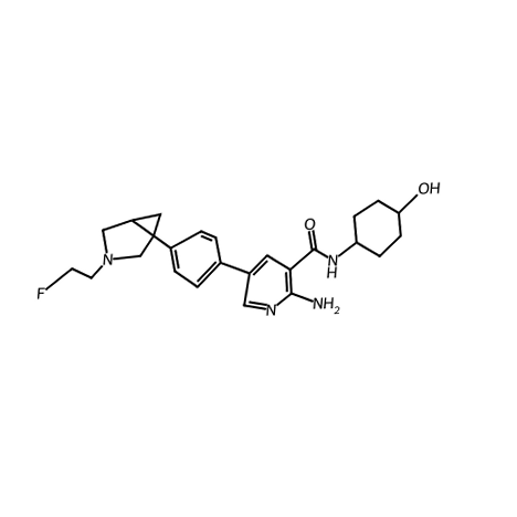 Nc1ncc(-c2ccc(C34CC3CN(CCF)C4)cc2)cc1C(=O)NC1CCC(O)CC1